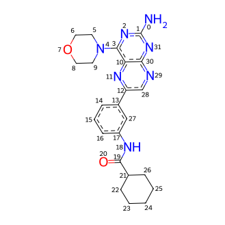 Nc1nc(N2CCOCC2)c2nc(-c3cccc(NC(=O)C4CCCCC4)c3)cnc2n1